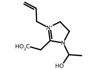 C=CC[N+]1=C(CC(=O)O)N(C(C)O)CC1